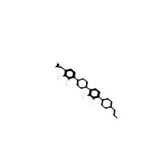 CCCC1CCC(c2ccc(C3CCC(c4ccc(C5CO5)c(F)c4F)CC3)c(F)c2F)CC1